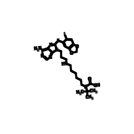 CC(C)(C)N(CCCCCCNCCCn1c(Sc2cc3c(cc2I)OCO3)nc2c(N)ncnc21)C(=O)O